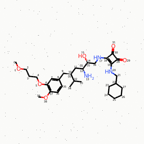 COCCCOc1cc(C[C@@H](C[C@H](N)[C@@H](O)CNc2c(NCC3CCCCC3)c(=O)c2=O)C(C)C)ccc1OC